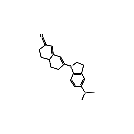 CN(C)c1ccc2c(c1)CCN2C1=CC2=CC(=O)CCC2CC1